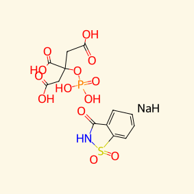 O=C(O)CC(CC(=O)O)(OP(=O)(O)O)C(=O)O.O=C1NS(=O)(=O)c2ccccc21.[NaH]